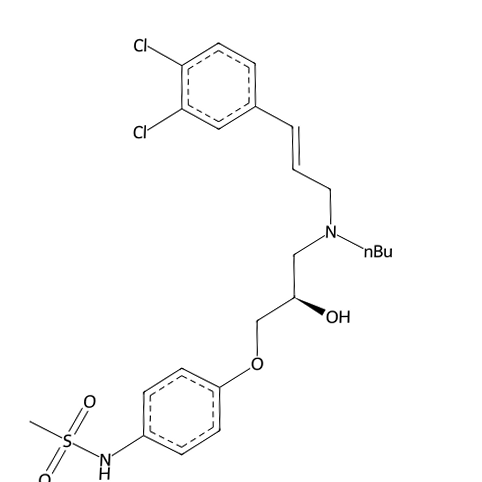 CCCCN(CC=Cc1ccc(Cl)c(Cl)c1)C[C@@H](O)COc1ccc(NS(C)(=O)=O)cc1